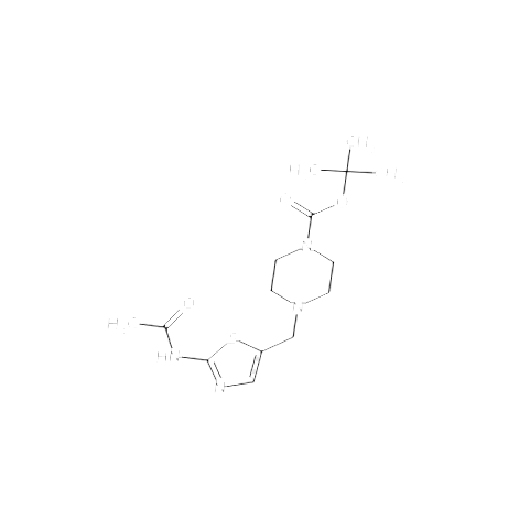 CC(=O)Nc1ncc(CN2CCN(C(=O)OC(C)(C)C)CC2)s1